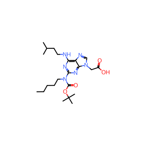 CCCCCN(C(=O)OC(C)(C)C)c1nc(NCCC(C)C)c2ncn(CC(=O)O)c2n1